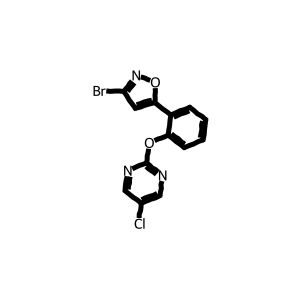 Clc1cnc(Oc2ccccc2-c2cc(Br)no2)nc1